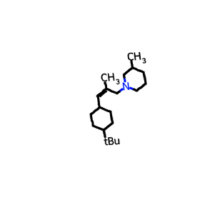 CC(=CC1CCC(C(C)(C)C)CC1)CN1CCCC(C)C1